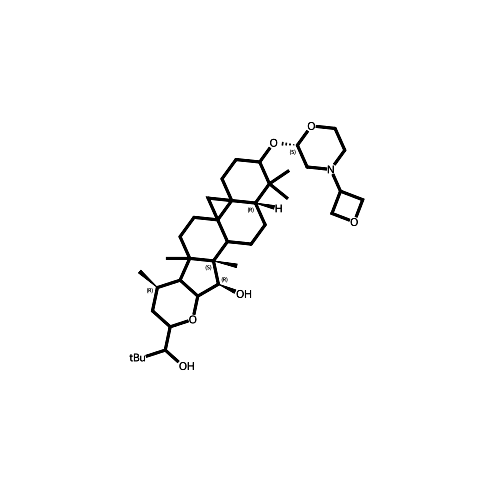 C[C@@H]1CC(C(O)C(C)(C)C)OC2C1C1(C)CCC34CC35CCC(O[C@H]3CN(C6COC6)CCO3)C(C)(C)[C@@H]5CCC4[C@]1(C)[C@H]2O